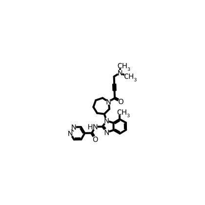 Cc1cccc2nc(NC(=O)c3ccnnc3)n(C3CCCCN(C(=O)C#CCN(C)C)C3)c12